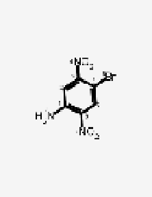 Nc1cc([N+](=O)[O-])c(Br)cc1[N+](=O)[O-]